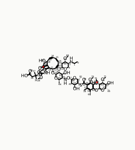 CCN[C@H]1CO[C@@H](O[C@H]2[C@H](O[C@H]3C#CC=CC#C[C@]4(O)CC(=O)C(NC(=O)OC)=C3/C4=C\CSSC(C)(C)CC(=O)O)O[C@H](C)[C@@H](NO[C@H]3C[C@H](O)[C@H](SC(=O)c4c(C)c(I)c(O[C@@H]5O[C@@H](C)[C@H](O)[C@@H](OC)[C@H]5O)c(OC)c4OC)[C@@H](C)O3)[C@@H]2O)C[C@@H]1OC